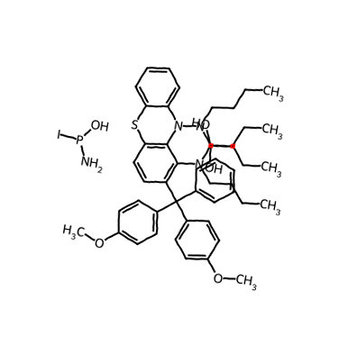 CCCCN(c1c(C(c2ccccc2)(c2ccc(OC)cc2)c2ccc(OC)cc2)ccc2c1N(N(CCCC)C(O)CCC)c1ccccc1S2)C(O)CCC.NP(O)I